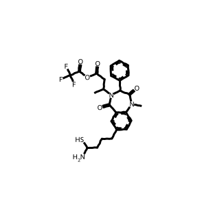 CC(CC(=O)OC(=O)C(F)(F)F)N1C(=O)c2cc(CCCC(N)S)ccc2N(C)C(=O)C1c1ccccc1